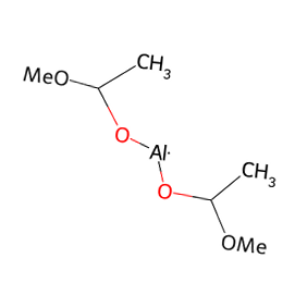 COC(C)[O][Al][O]C(C)OC